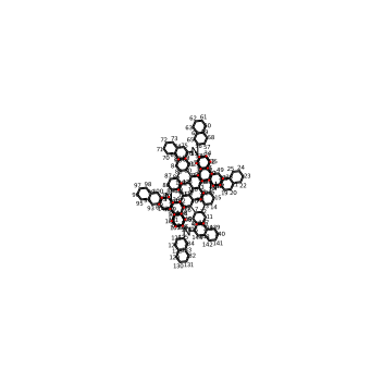 c1ccc(-c2cc(-c3ccccc3-c3ccc(N(c4ccc5ccccc5c4)c4ccc5ccccc5c4)cc3)c3ccc4c(-c5ccccc5-c5ccc(N(c6ccc7ccccc7c6)c6ccc7ccccc7c6)cc5)cc(-c5ccccc5-c5ccc(N(c6ccc7ccccc7c6)c6ccc7ccccc7c6)cc5)c5ccc2c3c54)c(-c2ccc(N(c3ccc4ccccc4c3)c3ccc4ccccc4c3)cc2)c1